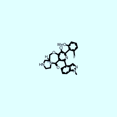 COc1cccc(F)c1-c1nc(-c2cccc3c2cnn3C)c2c(c1Cl)OC[C@H]1CNCCN1C2=O